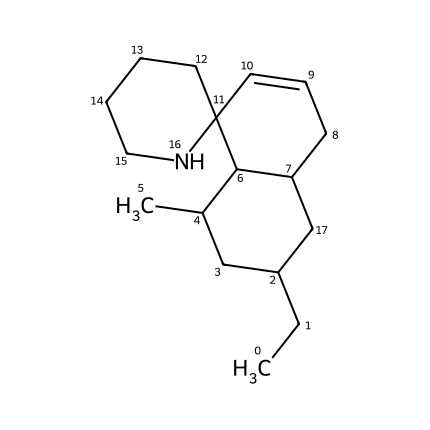 CCC1CC(C)C2C(CC=CC23CCCCN3)C1